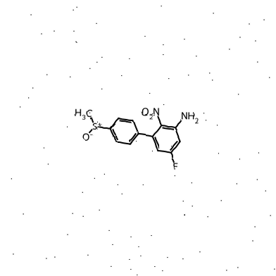 C[S+]([O-])c1ccc(-c2cc(F)cc(N)c2[N+](=O)[O-])cc1